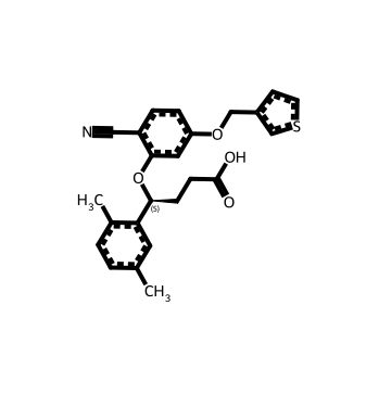 Cc1ccc(C)c([C@H](CCC(=O)O)Oc2cc(OCc3ccsc3)ccc2C#N)c1